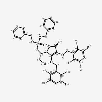 O=C1O[C@H]([C@H](CO)OP(=O)(OCc2ccccc2)OCc2ccccc2)C(OCc2c(F)c(F)cc(F)c2F)=C1OCc1c(F)c(F)cc(F)c1F